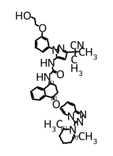 C[C@@H]1CCC[C@H](C)N1c1nnc2ccc(O[C@@H]3CC[C@H](NC(=O)Nc4cc(C(C)(C)C#N)nn4-c4cccc(OCCO)c4)c4ccccc43)cn12